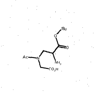 CC(=O)N(CC(=O)O)CC(N)C(=O)OC(C)(C)C